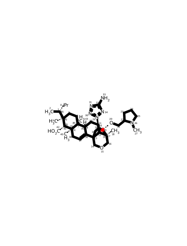 CC(C)[C@@H](C)[C@@]1(C)CC[C@]2(C)[C@H]3CC[C@@H]4C5(COC[C@]4(C)[C@@H](OCC4CCCN4C)[C@H](n4nnc(N)n4)C5)C3=CC[C@@]2(C)[C@@H]1C(=O)O